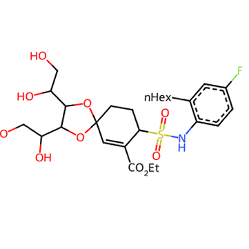 CCCCCCc1cc(F)ccc1NS(=O)(=O)C1CCC2(C=C1C(=O)OCC)OC(C(O)CO)C(C(O)CO)O2